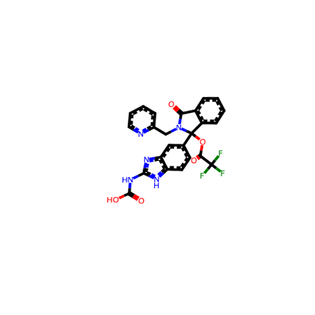 O=C(O)Nc1nc2cc(C3(OC(=O)C(F)(F)F)c4ccccc4C(=O)N3Cc3ccccn3)ccc2[nH]1